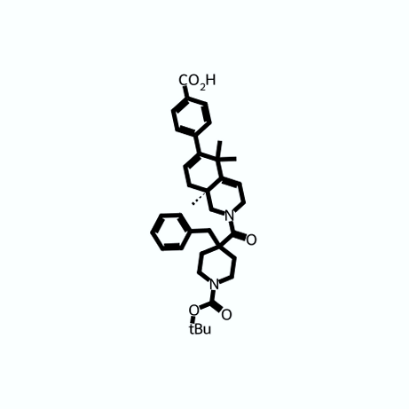 CC(C)(C)OC(=O)N1CCC(Cc2ccccc2)(C(=O)N2CC=C3C(C)(C)C(c4ccc(C(=O)O)cc4)=CC[C@]3(C)C2)CC1